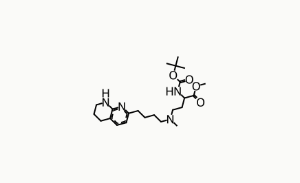 COC(=O)C(CCN(C)CCCCc1ccc2c(n1)NCCC2)NC(=O)OC(C)(C)C